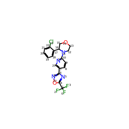 FC(F)(F)c1nc(-c2ccc(N3CCOCC3c3ccccc3Cl)nc2)no1